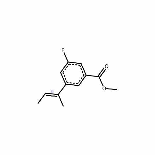 C/C=C(\C)c1cc(F)cc(C(=O)OC)c1